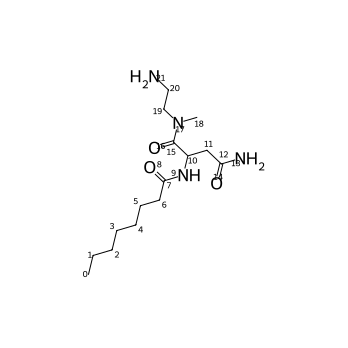 CCCCCCCC(=O)NC(CC(N)=O)C(=O)N(C)CCN